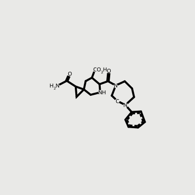 NC(=O)C1CC12CNC(C(=O)N1CCCN(c3ccccc3)CC1)C(C(=O)O)C2